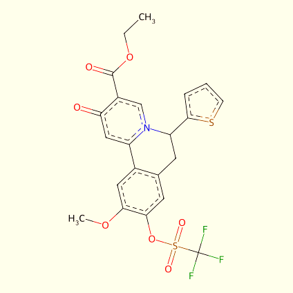 CCOC(=O)c1cn2c(cc1=O)-c1cc(OC)c(OS(=O)(=O)C(F)(F)F)cc1CC2c1cccs1